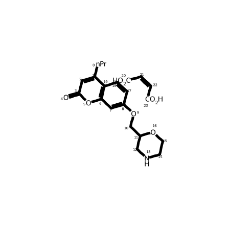 CCCc1cc(=O)oc2cc(OCC3CNCCO3)ccc12.O=C(O)/C=C\C(=O)O